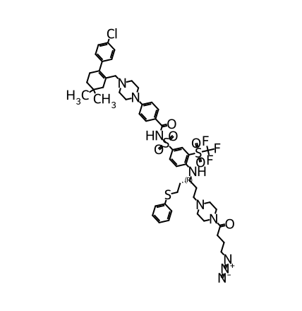 CC1(C)CCC(c2ccc(Cl)cc2)=C(CN2CCN(c3ccc(C(=O)NS(=O)(=O)c4ccc(N[C@@H](CCSc5ccccc5)CCN5CCN(C(=O)CCCN=[N+]=[N-])CC5)c(S(=O)(=O)C(F)(F)F)c4)cc3)CC2)C1